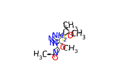 CC#CC(=O)N1CCC(c2c(COC)c(-c3cc4cc(C)cc(OC)c4s3)c3c(N)ncnn23)C1